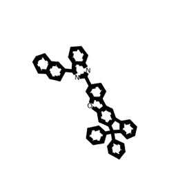 c1ccc(C2(c3ccccc3)c3ccccc3-c3cc4c(cc32)oc2cc(-c3nc(-c5ccc6ccccc6c5)c5ccccc5n3)ccc24)cc1